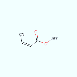 CCCOC(=O)/C=C\C#N